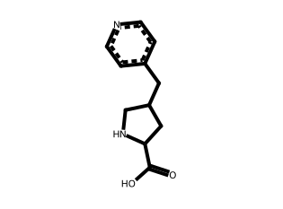 O=C(O)C1CC(Cc2ccncc2)CN1